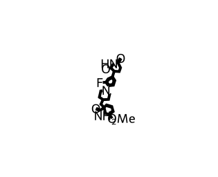 COC1=CC=CC(CC2CCN(c3ccc(C4CCC(=O)NC4=O)cc3F)CC2)(C(N)=O)C1